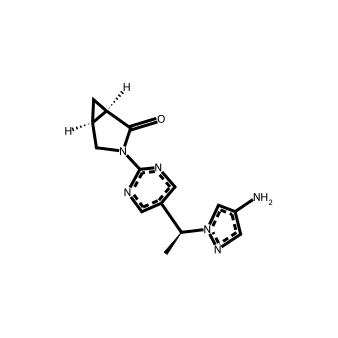 C[C@@H](c1cnc(N2C[C@H]3C[C@H]3C2=O)nc1)n1cc(N)cn1